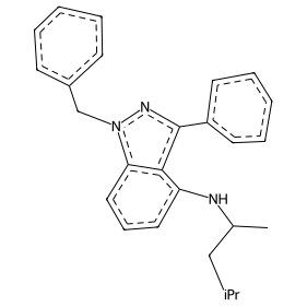 CC(C)CC(C)Nc1cccc2c1c(-c1ccccc1)nn2Cc1ccccc1